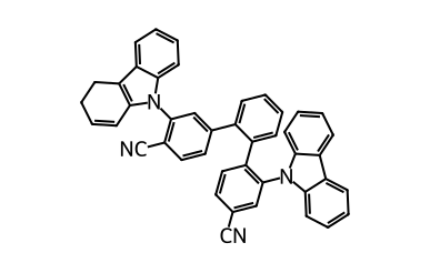 N#Cc1ccc(-c2ccccc2-c2ccc(C#N)c(-n3c4c(c5ccccc53)CCC=C4)c2)c(-n2c3ccccc3c3ccccc32)c1